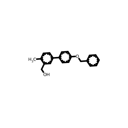 Cc1ccc(-c2ccc(OCc3ccccc3)cc2)cc1CO